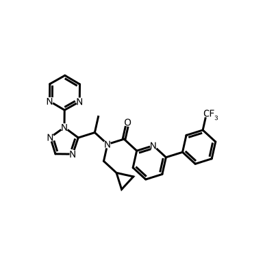 CC(c1ncnn1-c1ncccn1)N(CC1CC1)C(=O)c1cccc(-c2cccc(C(F)(F)F)c2)n1